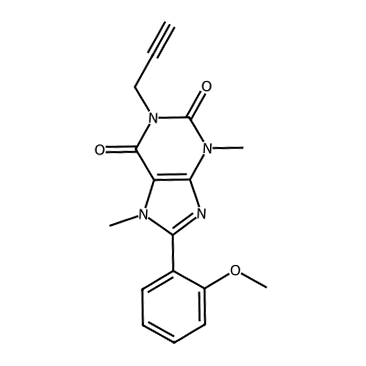 C#CCn1c(=O)c2c(nc(-c3ccccc3OC)n2C)n(C)c1=O